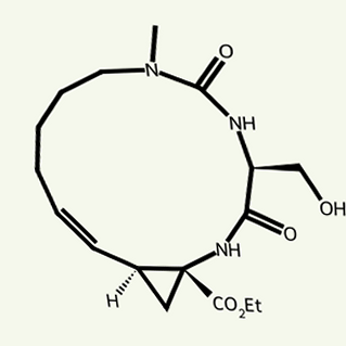 CCOC(=O)[C@@]12C[C@H]1/C=C\CCCCN(C)C(=O)N[C@@H](CO)C(=O)N2